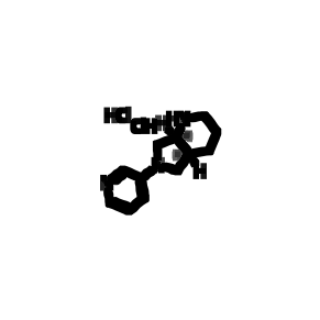 Cl.Cl.c1cncc(N2C[C@H]3CCCN[C@H]3C2)c1